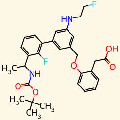 CC(NC(=O)OC(C)(C)C)c1cccc(-c2cc(COc3ccccc3CC(=O)O)cc(NCCF)c2)c1F